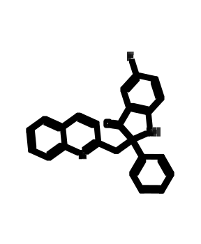 O=C1c2cc(F)ccc2NC1(Cc1ccc2ccccc2n1)c1ccccc1